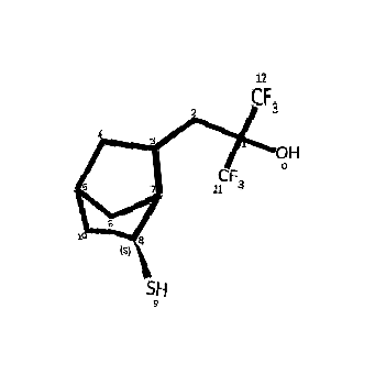 OC(CC1CC2CC1[C@@H](S)C2)(C(F)(F)F)C(F)(F)F